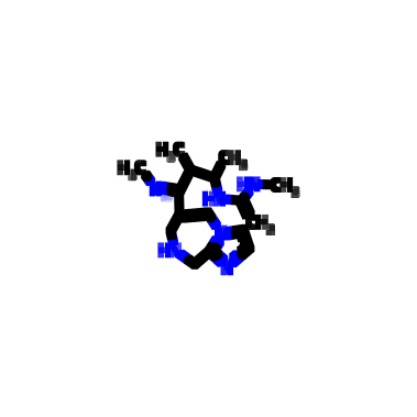 C=C(NC)NC(C)C(C)/C(=N\C)C1=Cn2ccnc2CNC1